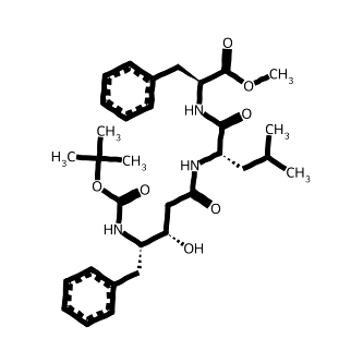 COC(=O)[C@H](Cc1ccccc1)NC(=O)[C@H](CC(C)C)NC(=O)C[C@H](O)[C@H](Cc1ccccc1)NC(=O)OC(C)(C)C